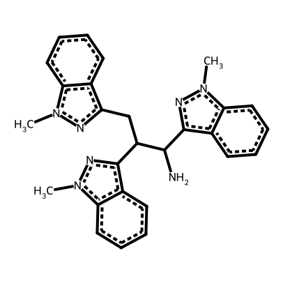 Cn1nc(CC(c2nn(C)c3ccccc23)C(N)c2nn(C)c3ccccc23)c2ccccc21